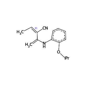 C=C(Nc1ccccc1OC(C)C)/C(C#N)=C\C